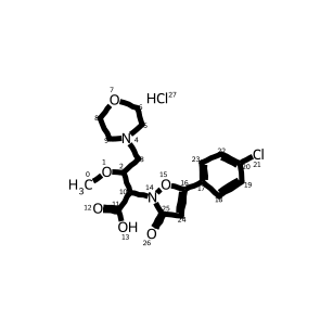 COC(CN1CCOCC1)C(C(=O)O)n1oc(-c2ccc(Cl)cc2)cc1=O.Cl